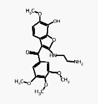 COc1cc(C(=O)c2c(NCCN)oc3c(O)c(OC)ccc23)cc(OC)c1OC